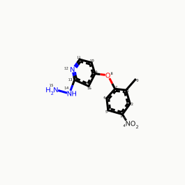 Cc1cc([N+](=O)[O-])ccc1Oc1ccnc(NN)c1